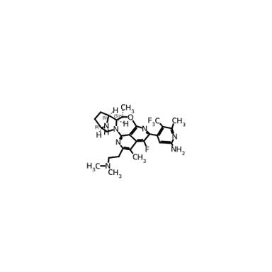 Cc1nc(N)cc(-c2nc3c4c(nc(CCN(C)C)c(C)c4c2F)N2C[C@H]4CC[C@H](N4)[C@H]2[C@H](C)O3)c1C(F)(F)F